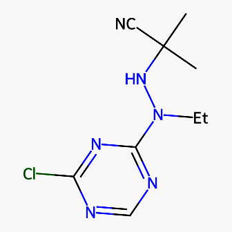 CCN(NC(C)(C)C#N)c1ncnc(Cl)n1